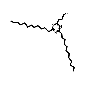 [CH2]CCCc1nc(CCCCCCCCCCCC)nc(CCCCCCCCCCCC)n1